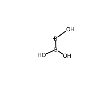 O[B]B(O)O